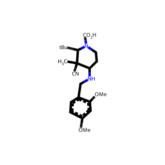 COc1ccc(CNC2CCN(C(=O)O)C(C(C)(C)C)C2(C)C#N)c(OC)c1